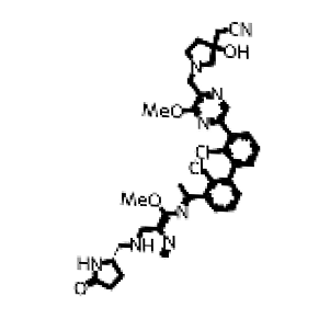 C=N/C(CNC[C@@H]1CCC(=O)N1)=C(\N=C(/C)c1cccc(-c2cccc(-c3cnc(CN4CCC(O)(CC#N)C4)c(OC)n3)c2Cl)c1Cl)OC